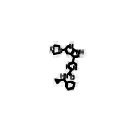 O=C(NC(c1ccccc1)C1CC1)c1ncc(-c2c[nH]c3ncc(N4CCOCC4)cc23)cn1